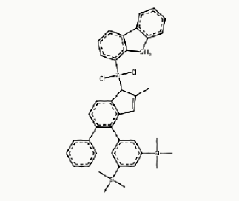 CC1=Cc2c(ccc(-c3ccccc3)c2-c2cc([Si](C)(C)C)cc([Si](C)(C)C)c2)[CH]1[Zr]([Cl])([Cl])[c]1cccc2c1[SiH2]c1ccccc1-2